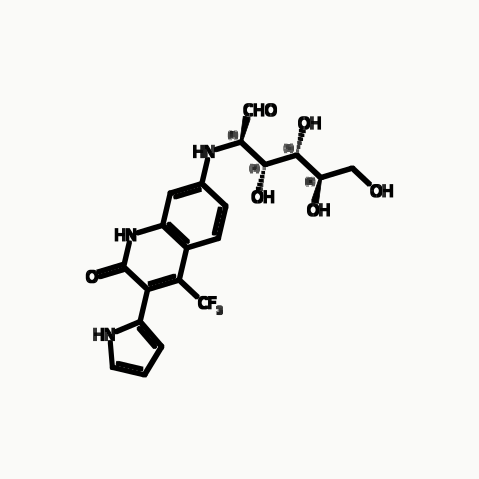 O=C[C@H](Nc1ccc2c(C(F)(F)F)c(-c3ccc[nH]3)c(=O)[nH]c2c1)[C@@H](O)[C@H](O)[C@H](O)CO